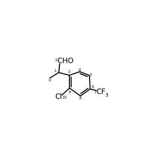 CC(C=O)c1ccc(C(F)(F)F)cc1Cl